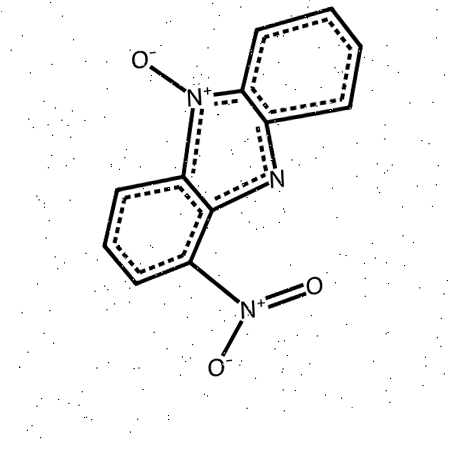 O=[N+]([O-])c1cccc2c1nc1ccccc1[n+]2[O-]